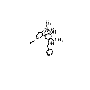 Cc1nn(Cc2ccccc2)c2c1C[C@@]1(O)[C@H]3CCc4ccc(O)cc4[C@@]1(CCN3C)C2